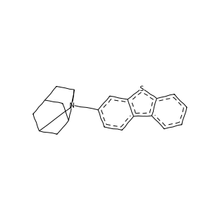 c1ccc2c(c1)sc1cc(N3C4CC5CC(C4)CC3C5)ccc12